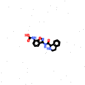 O=C(O)Nc1cccc2c(NC(=O)C3NCCc4ccccc43)noc12